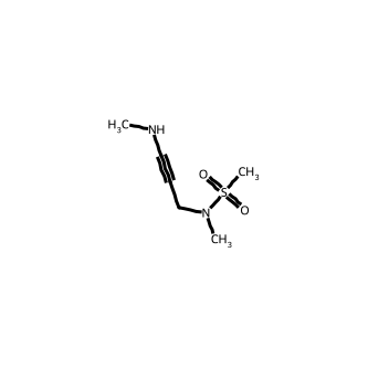 CNC#CCN(C)S(C)(=O)=O